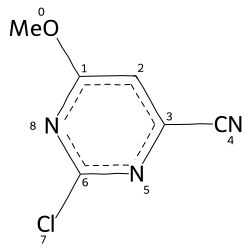 COc1cc(C#N)nc(Cl)n1